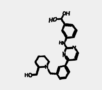 OCC1CCCCN1Cc1cccc(-c2ccnc(Nc3cccc(C(O)O)c3)n2)c1